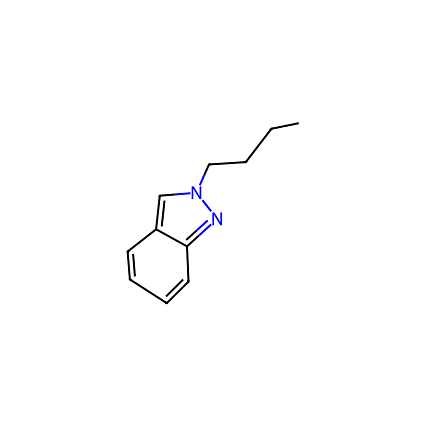 CCCCn1cc2ccccc2n1